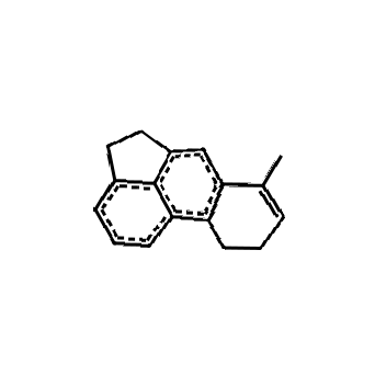 CC1=CCCc2c1cc1c3c(cccc23)CC1